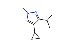 CC(C)c1nn(C)cc1C1CC1